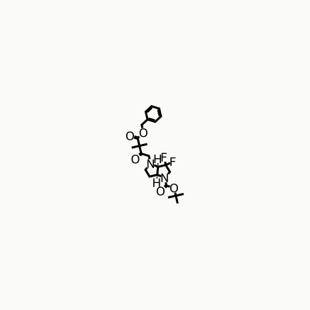 CC(C)(C)OC(=O)N1CC(F)(F)[C@H]2[C@@H]1CCN2CC(=O)C(C)(C)C(=O)OCc1ccccc1